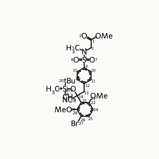 COC(=O)CN(C)S(=O)(=O)c1ccc(CC(C#N)(O[Si](C)(C)C(C)(C)C)c2c(OC)ccc(Br)c2OC)cc1